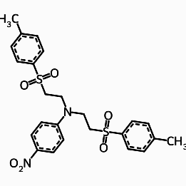 Cc1ccc(S(=O)(=O)CCN(CCS(=O)(=O)c2ccc(C)cc2)c2ccc([N+](=O)[O-])cc2)cc1